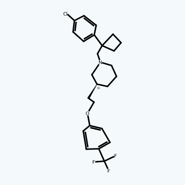 FC(F)(F)c1ccc(OCC[C@@H]2CCCN(CC3(c4ccc(Cl)cc4)CCC3)C2)cc1